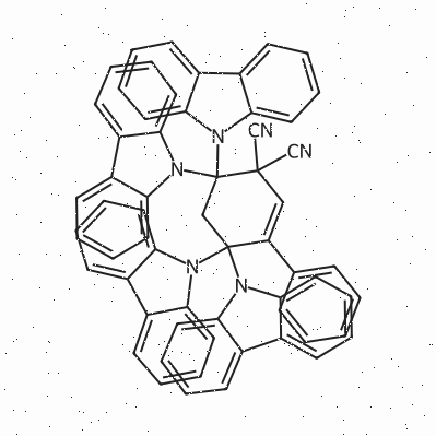 N#CC1(C#N)C=C(c2ccccc2)C(n2c3ccccc3c3ccccc32)(n2c3ccccc3c3ccccc32)CC1(n1c2ccccc2c2ccccc21)n1c2ccccc2c2ccccc21